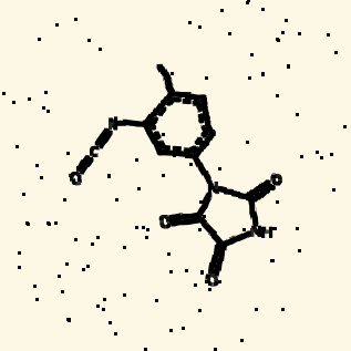 Cc1ccc(N2C(=O)NC(=O)C2=O)cc1N=C=O